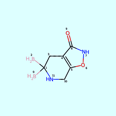 BC1(B)Cc2c(o[nH]c2=O)CN1